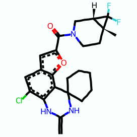 C=C1Nc2c(Cl)cc3cc(C(=O)N4CC[C@]5(C)[C@H](C4)C5(F)F)oc3c2C2(CCCCC2)N1